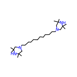 CC1(C)CN(CCCCCCCCCCCCN2CC(C)(C)NC(C)(C)C2)CC(C)(C)N1